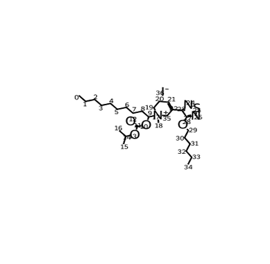 CCCCCCCCCC(OC(=O)OC(C)C)[N+]1(C)CCC=C(c2nsnc2OCCCCCC)C1.[I-]